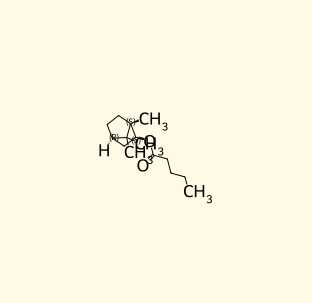 CCCCC(=O)O[C@H]1C[C@H]2CC[C@@]1(C)C2(C)C